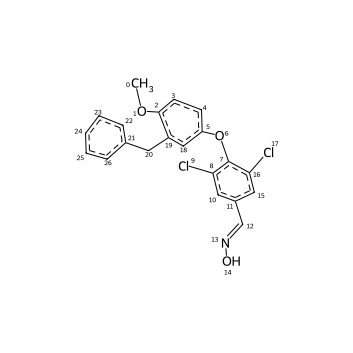 COc1ccc(Oc2c(Cl)cc(C=NO)cc2Cl)cc1Cc1ccccc1